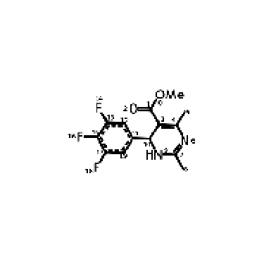 COC(=O)C1=C(C)N=C(C)NC1c1cc(F)c(F)c(F)c1